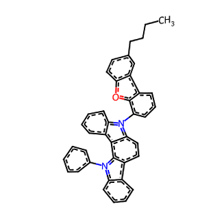 CCCCc1ccc2oc3c(-n4c5ccccc5c5c4ccc4c6ccccc6n(-c6ccccc6)c45)cccc3c2c1